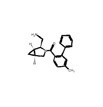 Cc1ccc(C(=O)N2C[C@H]3C[C@H]3[C@H]2CN)c(-c2ccccc2)c1